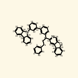 c1ccc(CCC(c2cccc(-c3cccc(-n4c5ccccc5c5ccccc54)c3)c2)c2cc3c(cn2)oc2ccccc23)cc1